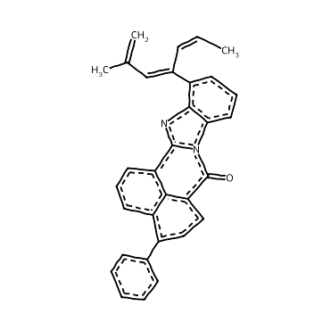 C=C(C)/C=C(\C=C/C)c1cccc2c1nc1c3cccc4c(-c5ccccc5)ccc(c(=O)n21)c43